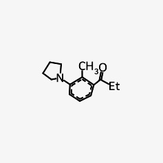 CCC(=O)c1cccc(N2CCCC2)c1C